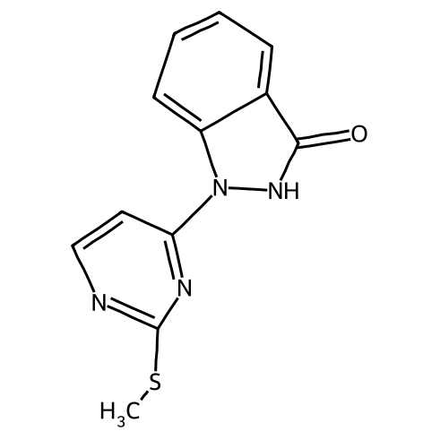 CSc1nccc(-n2[nH]c(=O)c3ccccc32)n1